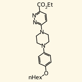 CCCCCCOc1ccc(N2CCN(c3ccc(C(=O)OCC)nn3)CC2)cc1